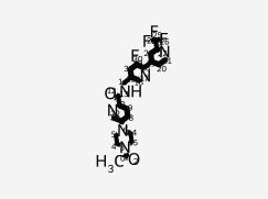 CC(=O)N1CCN(c2ccc(C(=O)NCc3cnc(-c4ccnc(C(F)(F)F)c4)c(F)c3)nc2)CC1